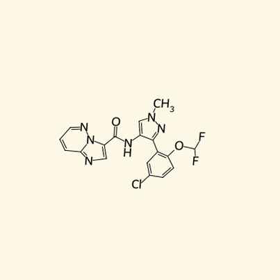 Cn1cc(NC(=O)c2cnc3cccnn23)c(-c2cc(Cl)ccc2OC(F)F)n1